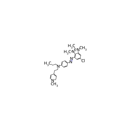 CCCN(CCc1cc[n+](C)cc1)c1ccc(/N=N/c2cc(Cl)cc3c2[n+](C)c(C)n3C)cc1